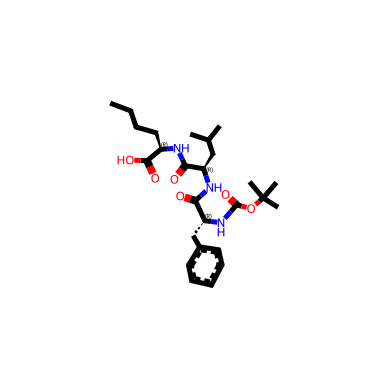 CCCC[C@@H](NC(=O)[C@@H](CC(C)C)NC(=O)[C@@H](Cc1ccccc1)NC(=O)OC(C)(C)C)C(=O)O